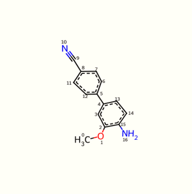 COc1cc(-c2ccc(C#N)cc2)ccc1N